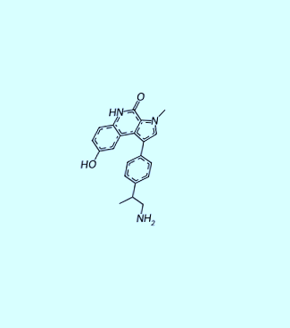 CC(CN)c1ccc(-c2cn(C)c3c(=O)[nH]c4ccc(O)cc4c23)cc1